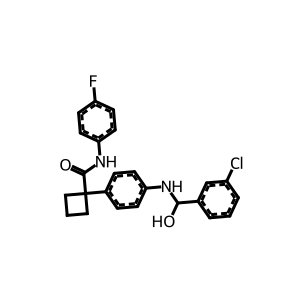 O=C(Nc1ccc(F)cc1)C1(c2ccc(NC(O)c3cccc(Cl)c3)cc2)CCC1